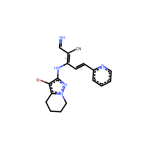 N#C/C(C=N)=C(\C=C\c1ccccn1)Nc1nn2c(c1Br)CCCC2